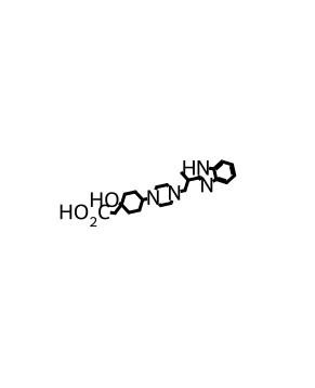 CC(CN1CCN(C2CCC(O)(CC(=O)O)CC2)CC1)c1nc2ccccc2[nH]1